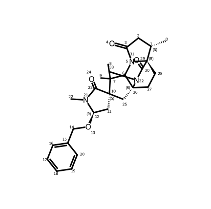 C[C@H]1CC(=O)N2C3C(C)(C)[C@@]4(C[C@@H](OCc5ccccc5)N(C)C4=O)C[C@]34CC[C@]12C(=O)N4C